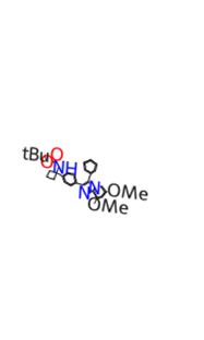 COc1cc(OC)c2nc(-c3ccc(C4(NC(=O)OC(C)(C)C)CCC4)cc3)c(-c3ccccc3)n2c1